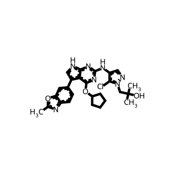 Cc1nc2ccc(-c3c[nH]c4nc(Nc5cnn(CC(C)(C)O)c5Cl)nc(OC5CCCC5)c34)cc2o1